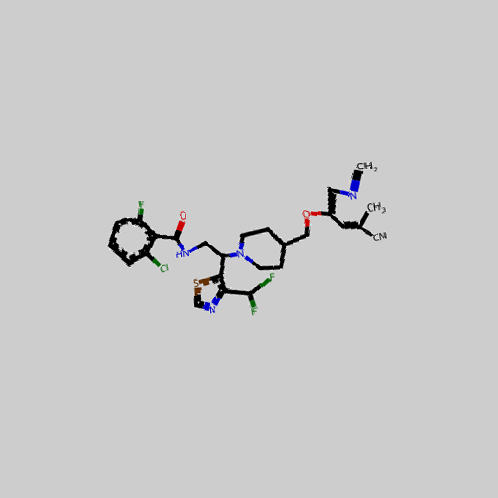 C=N/C=C(\C=C(/C)C#N)OCC1CCN(C(CNC(=O)c2c(F)cccc2Cl)c2scnc2C(F)F)CC1